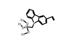 C=Cc1ccc2c(c1)c1ccccc1n2C[Si](OCC)(OCC)OCC